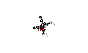 C=CCOc1ccc(/C(=C\C2(/C=C(\c3ccc(OCC=C)cc3)c3ccc(N4CCCC4)cc3)OC(=O)c3c(Cl)c(Cl)c(Cl)c(Cl)c32)c2ccc(N3CCCC3)cc2)cc1